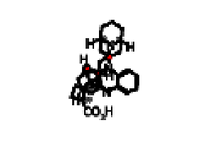 CC1(C)[C@H]2CC[C@@H](CCN3[C@@H]4CCC[C@H]3C[C@@H](n3c(=O)c(N5CC[C@@H]5C(=O)O)nc5ccccc53)C4)[C@@H]1C2